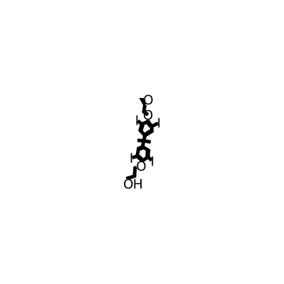 CC(C)(c1cc(I)c(OCCCO)c(I)c1)c1cc(I)c(OCC2CO2)c(I)c1